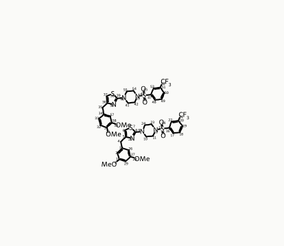 COc1cc(Cc2csc(N3CCN(S(=O)(=O)c4cccc(C(F)(F)F)c4)CC3)n2)cc(OC)c1.COc1ccc(Cc2csc(N3CCN(S(=O)(=O)c4cccc(C(F)(F)F)c4)CC3)n2)cc1OC